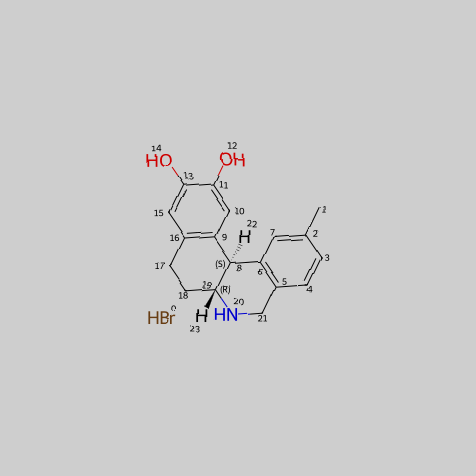 Br.Cc1ccc2c(c1)[C@@H]1c3cc(O)c(O)cc3CC[C@H]1NC2